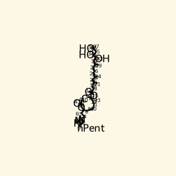 CCCCCc1cn(C[C@H](C)C2C/C=C/C[C@H](C)[C@@H](OC(=O)/C=C/C(C)=C/C(C)=C/C=C/C(C)=C/[C@H](O)[C@H](O)C[C@H](C)O)CCCC(=O)O2)nn1